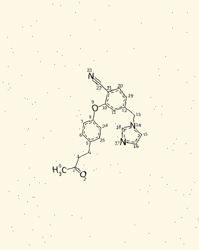 CC(=O)CCc1ccc(Oc2cc(Cn3ccnc3)ccc2C#N)cc1